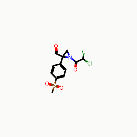 CS(=O)(=O)c1ccc(C2(C=O)CN2C(=O)C(Cl)Cl)cc1